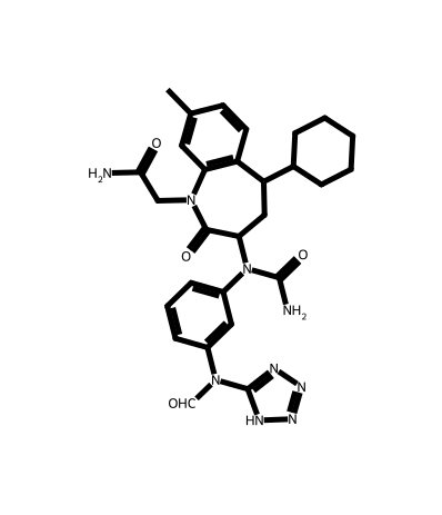 Cc1ccc2c(c1)N(CC(N)=O)C(=O)C(N(C(N)=O)c1cccc(N(C=O)c3nnn[nH]3)c1)CC2C1CCCCC1